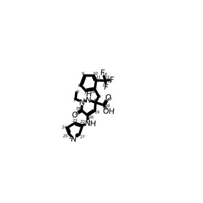 CCN1NC(Cc2ccccc2C(F)(F)F)(C(=O)O)C=C(Nc2cccnc2)C1=O